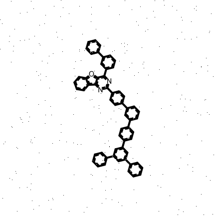 c1ccc(-c2cc(-c3ccccc3)cc(-c3ccc(-c4cccc(-c5ccc(-c6nc(-c7cccc(-c8ccccc8)c7)c7oc8ccccc8c7n6)cc5)c4)cc3)c2)cc1